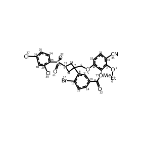 CCOc1cc(OCC2(c3cc(C(=O)OC)ccc3Br)CN(S(=O)(=O)c3ccc(Cl)cc3Cl)C2)ccc1C#N